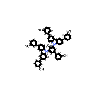 N#Cc1cccc(-c2cc(-n3c4ccc(-c5cccc(C#N)c5)cc4c4cc(-c5cccc(C#N)c5)ccc43)c(C(F)(F)F)c(-n3c4ccc(-c5cccc(C#N)c5)cc4c4cc(-c5cccc(C#N)c5)ccc43)c2)c1